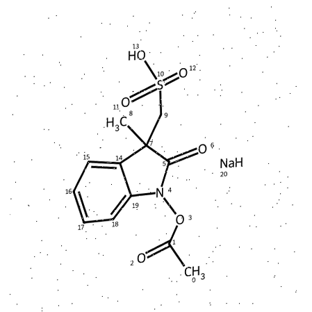 CC(=O)ON1C(=O)C(C)(CS(=O)(=O)O)c2ccccc21.[NaH]